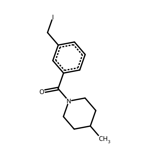 CC1CCN(C(=O)c2cccc(CI)c2)CC1